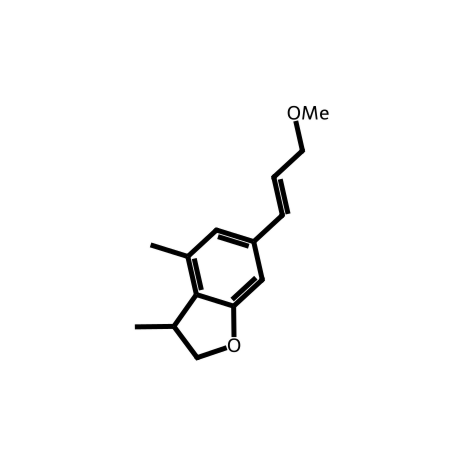 COC/C=C/c1cc(C)c2c(c1)OCC2C